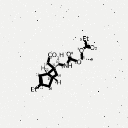 CCC(=O)O[C@H](C)OC(=O)NC[C@]1(CC(=O)O)C[C@@H]2CC(CC)=C[C@H]21